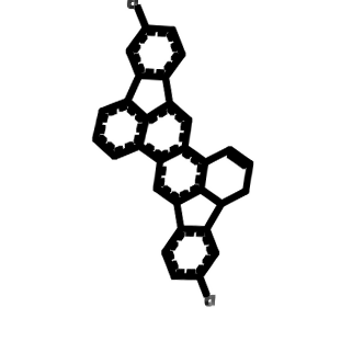 Clc1ccc2c(c1)-c1cccc3c1c-2cc1c2c4c(cc13)-c1ccc(Cl)cc1C4CC=C2